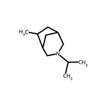 CC1CC2CC1CN(C(C)C)C2